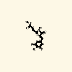 COC(=O)/C=C/C1=NC(=C\c2cc(F)c(O)c(F)c2)/C(=O)N1C